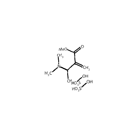 C=C(C(=O)OC)C(C)N(C)C.O=S(=O)(O)O.O=S(=O)(O)O